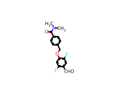 CN(C)C(=O)c1ccc(COc2cc(F)c(C=O)cc2F)cc1